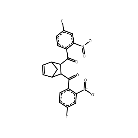 O=C(c1ccc(F)cc1[N+](=O)[O-])C1C2C=CC(C2)C1C(=O)c1ccc(F)cc1[N+](=O)[O-]